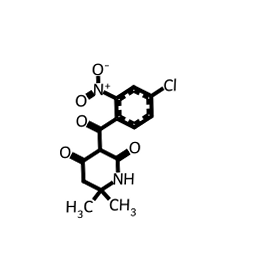 CC1(C)CC(=O)C(C(=O)c2ccc(Cl)cc2[N+](=O)[O-])C(=O)N1